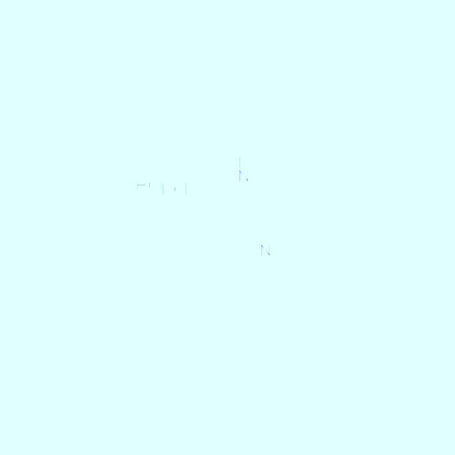 CC1CN(C)CCN1.Cl.Cl